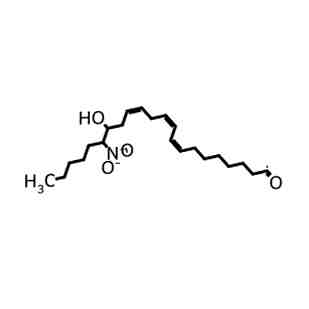 CCCCCC(C(O)C/C=C\C/C=C\C=C/CCCCCC[C]=O)[N+](=O)[O-]